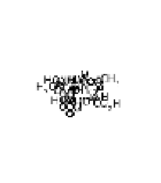 CC(=O)[C@]1(O)Cc2c(O)c3c(c(O)c2[C@@H](O[C@H]2C[C@H](N)[C@H](O)[C@H](C)O2)C1)C(=O)c1ccccc1C3=O.Cc1nc2ccc(CN(C)c3ccc(C(=O)N[C@@H](CCC(=O)O)C(=O)O)s3)cc2c(=O)[nH]1